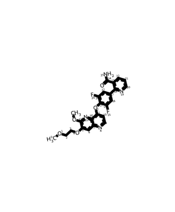 COCCOc1cc2nccc(Oc3c(F)cc(-c4ncccc4C(N)=O)cc3F)c2nc1OC